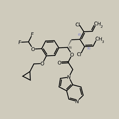 C=C/C(Cl)=C(C[C@H](OC(=O)Cn1ccc2cnccc21)c1ccc(OC(F)F)c(OCC2CC2)c1)\C(Cl)=C/C